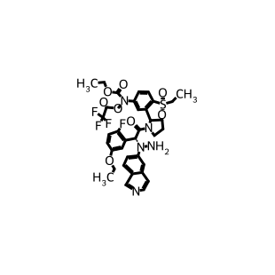 CCOC(=O)N(OC(=O)C(F)(F)F)c1ccc(S(=O)(=O)CC)c(C2CCCN2C(=O)[C@@H](c2cc(OCC)ccc2F)N(N)c2ccc3cnccc3c2)c1